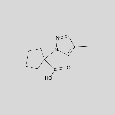 Cc1cnn(C2(C(=O)O)CCCC2)c1